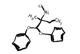 CCC(C)(PCl)C(Oc1ccccc1)Oc1ccccc1